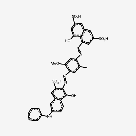 COc1cc(N=Nc2cc(S(=O)(=O)O)cc3cc(S(=O)(=O)O)cc(O)c23)c(C)cc1N=Nc1c(S(=O)(=O)O)cc2cc(Nc3ccccc3)ccc2c1O